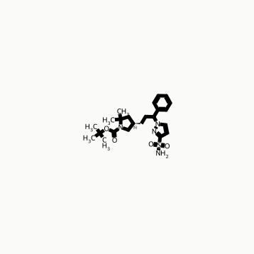 CC(C)(C)OC(=O)N1C[C@@H](CCC(c2ccccc2)n2ccc(S(N)(=O)=O)n2)CC1(C)C